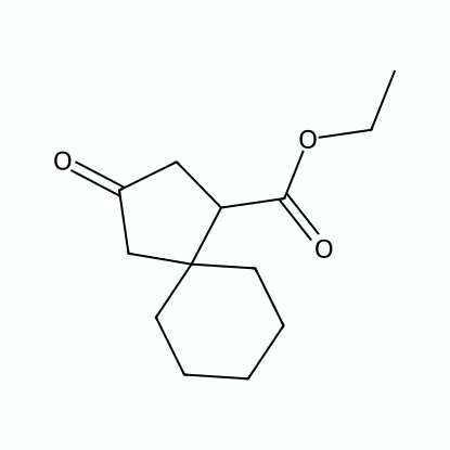 CCOC(=O)C1CC(=O)CC12CCCCC2